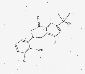 CC(C)(C#N)c1cc(F)c2c(c1)C(=O)CN(c1cccc(Br)c1C=O)C2